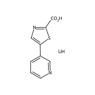 O=C(O)c1ncc(-c2cccnc2)s1.[LiH]